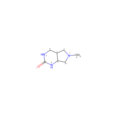 CN1CC2CNC(=O)NC2C1